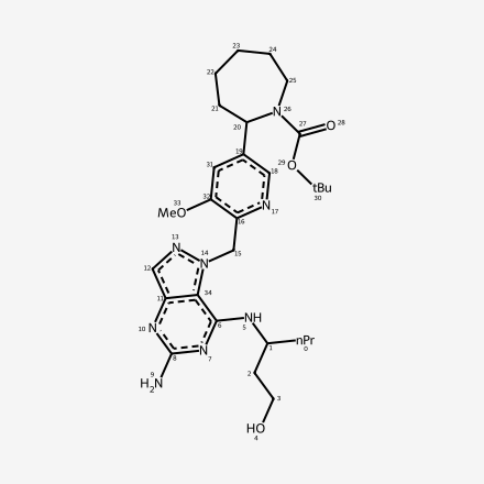 CCCC(CCO)Nc1nc(N)nc2cnn(Cc3ncc(C4CCCCCN4C(=O)OC(C)(C)C)cc3OC)c12